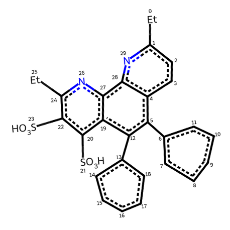 CCc1ccc2c(-c3ccccc3)c(-c3ccccc3)c3c(S(=O)(=O)O)c(S(=O)(=O)O)c(CC)nc3c2n1